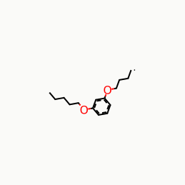 [CH2]CCCOc1cccc(OCCCCC)c1